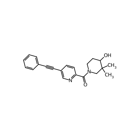 CC1(C)CN(C(=O)c2ccc(C#Cc3ccccc3)cn2)CCC1O